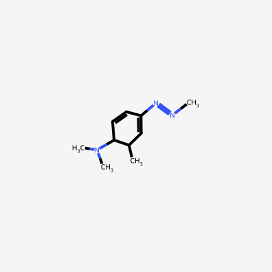 CN=NC1=CC(C)C(N(C)C)C=C1